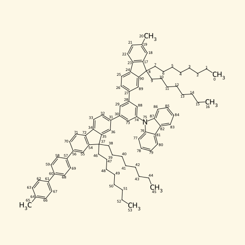 CCCCCCCCC1(CCCCCCCC)c2cc(C)ccc2-c2ccc(-c3cc(-c4ccc5c(c4)C(CCCCCCCC)(CCCCCCCC)c4cc(-c6ccc(-c7ccc(C)cc7)cc6)ccc4-5)cc(-n4c5ccccc5c5ccccc54)c3)cc21